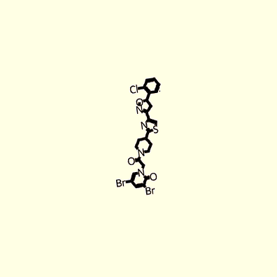 O=C(Cn1cc(Br)cc(Br)c1=O)N1CCC(c2nc(C3=NOC(c4[c]cccc4Cl)C3)cs2)CC1